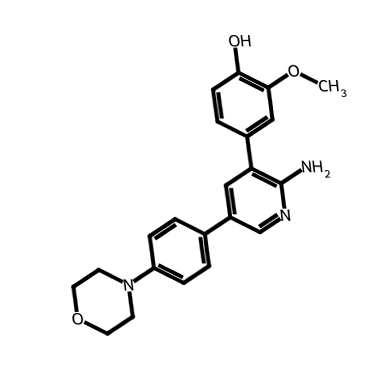 COc1cc(-c2cc(-c3ccc(N4CCOCC4)cc3)cnc2N)ccc1O